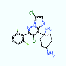 NC1CCC(N)(c2c(Cl)c(-c3c(F)cccc3F)nn3c(Cl)cnc23)CC1